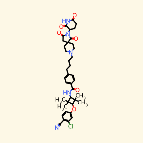 CC1(C)C(NC(=O)c2ccc(CCCCN3CCC4(CC3)CC(=O)N(C3CCC(=O)NC3=O)C4=O)cc2)C(C)(C)C1Oc1ccc(C#N)c(Cl)c1